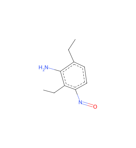 CCc1ccc(N=O)c(CC)c1N